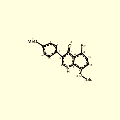 COc1ccc(-c2c[nH]c3c(OC(C)(C)C)ccc(F)c3c2=O)cc1